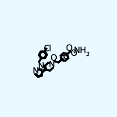 NOC(=O)C12CCC(CC(=O)N3CCc4c(n(Cc5ccc(Cl)cc5)c5ncccc45)C3)(CC1)CC2